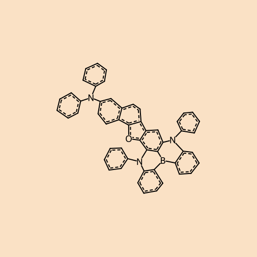 c1ccc(N(c2ccccc2)c2ccc3c(ccc4c5cc6c7c(c5oc34)N(c3ccccc3)c3ccccc3B7c3ccccc3N6c3ccccc3)c2)cc1